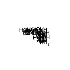 C1CN1.N.O=P(O)(O)CP(=O)(O)O.O=P(O)(O)CP(=O)(O)O.O=P(O)(O)CP(=O)(O)O.O=P(O)(O)CP(=O)(O)O